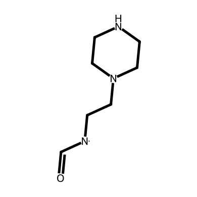 O=C[N]CCN1CCNCC1